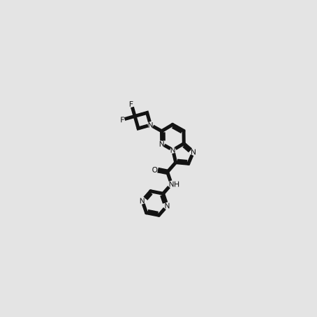 O=C(Nc1cnccn1)c1cnc2ccc(N3CC(F)(F)C3)nn12